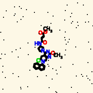 COC(=O)/C=C/C(=O)NC1CCN(c2nc(OC)nc3c2CCN(c2cccc4cccc(Cl)c24)C3)C1